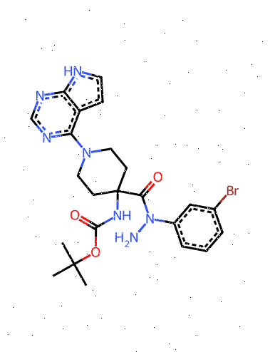 CC(C)(C)OC(=O)NC1(C(=O)N(N)c2cccc(Br)c2)CCN(c2ncnc3[nH]ccc23)CC1